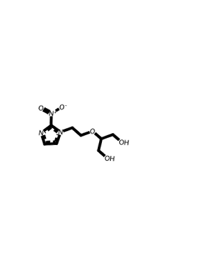 O=[N+]([O-])c1nccn1CCOC(CO)CO